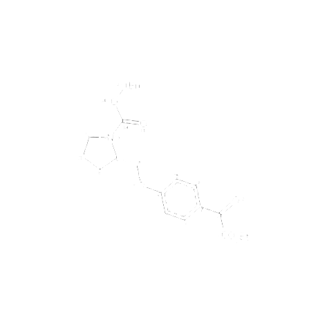 CCOC(=O)C(=O)c1ccc(OC[C@@H]2CCCN2C(=O)OC(C)(C)C)cc1